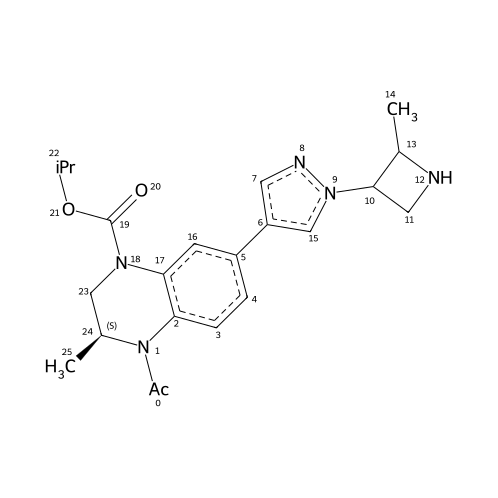 CC(=O)N1c2ccc(-c3cnn(C4CNC4C)c3)cc2N(C(=O)OC(C)C)C[C@@H]1C